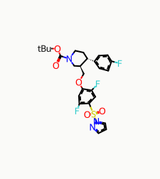 CC(C)(C)OC(=O)N1CC[C@H](c2ccc(F)cc2)[C@@H](COc2cc(F)c(S(=O)(=O)n3cccn3)cc2F)C1